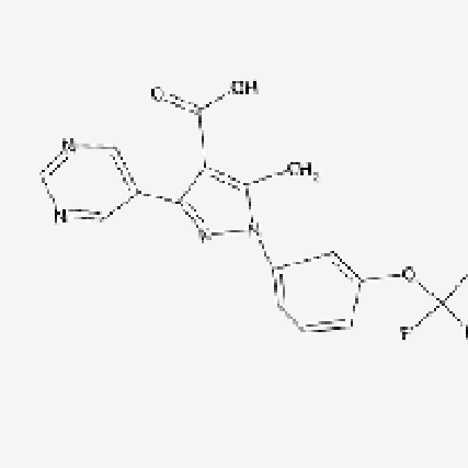 Cc1c(C(=O)O)c(-c2cncnc2)nn1-c1cccc(OC(F)(F)F)c1